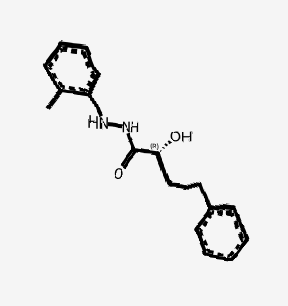 Cc1ccccc1NNC(=O)[C@H](O)CCc1ccccc1